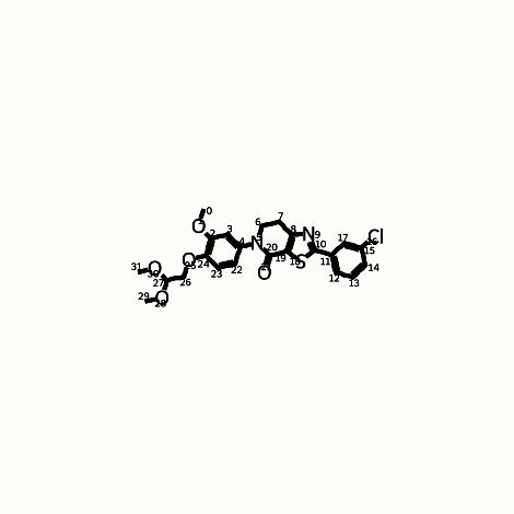 COc1cc(N2CCc3nc(-c4cccc(Cl)c4)sc3C2=O)ccc1OCC(OC)OC